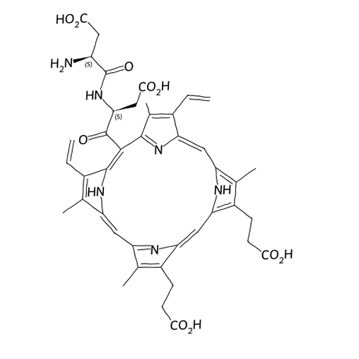 C=CC1=C(C)c2nc1cc1[nH]c(cc3nc(cc4[nH]c(c(C=C)c4C)c2C(=O)[C@H](CC(=O)O)NC(=O)[C@@H](N)CC(=O)O)C(C)=C3CCC(=O)O)c(CCC(=O)O)c1C